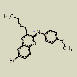 CCOCc1cc2cc(Br)ccc2o/c1=N\c1ccc(OC)cc1